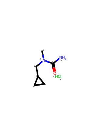 CN(CC1CC1)C(N)=O.Cl